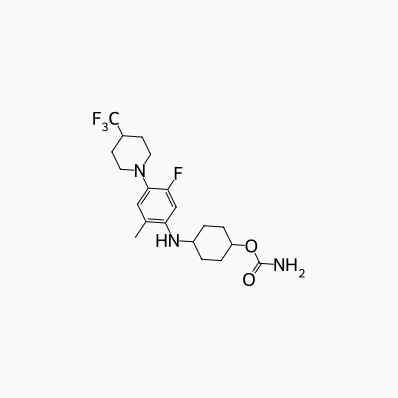 Cc1cc(N2CCC(C(F)(F)F)CC2)c(F)cc1NC1CCC(OC(N)=O)CC1